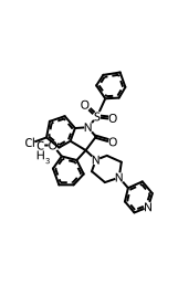 COc1ccccc1C1(N2CCN(c3ccncc3)CC2)C(=O)N(S(=O)(=O)c2ccccc2)c2ccc(Cl)cc21